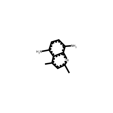 Cc1cc(C)c2c(N)ccc(N)c2n1